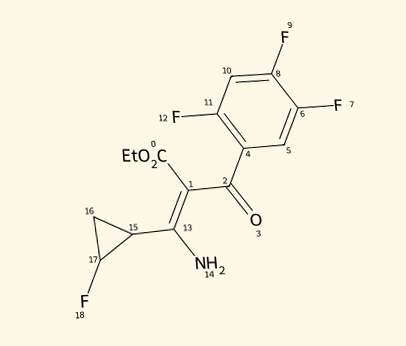 CCOC(=O)C(C(=O)c1cc(F)c(F)cc1F)=C(N)C1CC1F